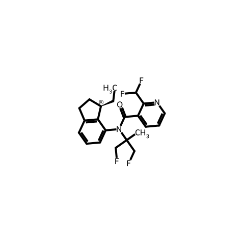 CC[C@@H]1CCc2cccc(N(C(=O)c3cccnc3C(F)F)C(C)(CF)CF)c21